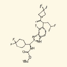 CC(C)(C)OC(=O)N[C@H](c1nc2c(F)c(C(CC(F)F)C(=O)N3CC(F)(F)C3)ccc2[nH]1)C1CCC(F)(F)CC1